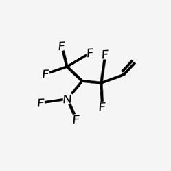 C=CC(F)(F)C(N(F)F)C(F)(F)F